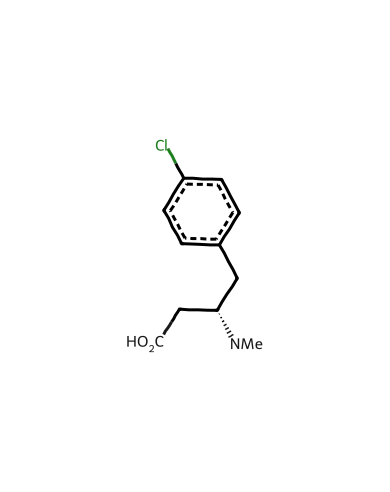 CN[C@H](CC(=O)O)Cc1ccc(Cl)cc1